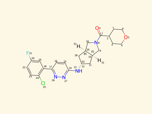 O=C(C1CCOCC1)N1C[C@H]2C[C@H](Nc3ccc(-c4cc(F)ccc4Cl)nn3)C[C@H]2C1